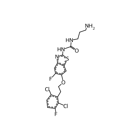 NCCCNC(=O)Nc1nc2cc(F)c(OCCc3c(Cl)ccc(F)c3Cl)cc2s1